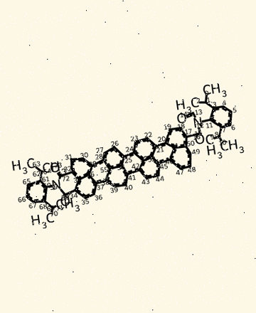 CC(C)c1cccc(C(C)C)c1N(C=O)C(=O)c1ccc2c3ccc4c5ccc6c7ccc8c9c(ccc(c%10ccc(c%11ccc(c%12cccc1c%122)c3c%114)c5c%106)c97)C(=O)N(c1c(C(C)C)cccc1C(C)C)C8=O